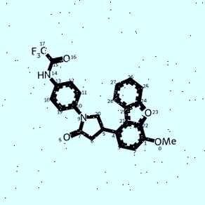 COc1ccc(C2CC(=O)N(c3ccc(NC(=O)C(F)(F)F)cc3)C2)c2c1oc1ccccc12